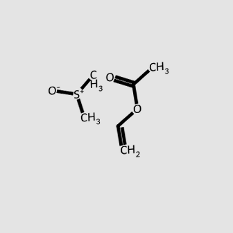 C=COC(C)=O.C[S+](C)[O-]